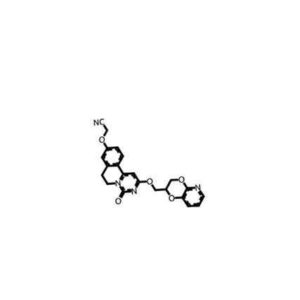 N#CCOc1ccc2c(c1)CCn1c-2cc(OCC2COc3ncccc3O2)nc1=O